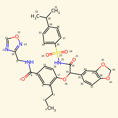 CCCc1cc(C(=O)NCc2ncon2)ccc1OC(C(=O)NS(=O)(=O)c1ccc(C(C)C)cc1)c1ccc2c(c1)OCO2